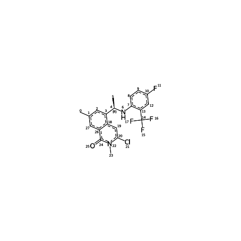 Cc1cc([C@@H](C)Nc2ccc(F)cc2C(F)(F)F)c2cc(Cl)n(C)c(=O)c2c1